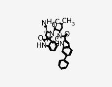 CC(C)CC(C(=O)N1C[C@]2(C[C@H]1C#N)C(=O)Nc1ccccc12)N(C)C(=O)c1cc2ccc(-c3ccccc3)cc2[nH]1